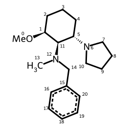 CO[C@H]1CCC[C@H](N2CCCC2)[C@H]1N(C)Cc1ccccc1